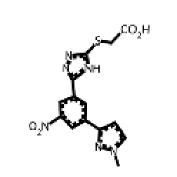 Cn1ccc(-c2cc(-c3nnc(SCC(=O)O)[nH]3)cc([N+](=O)[O-])c2)n1